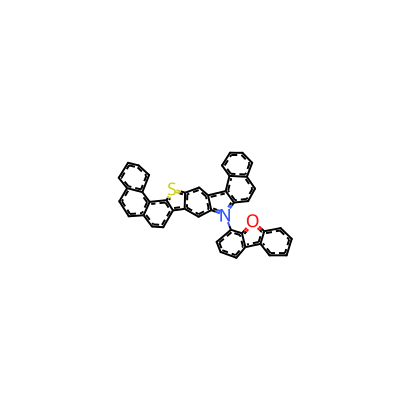 c1ccc2c(c1)ccc1ccc3c4cc5c(cc4sc3c12)c1c2ccccc2ccc1n5-c1cccc2c1oc1ccccc12